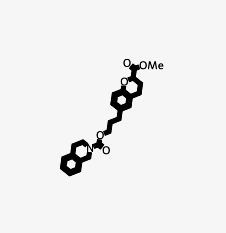 COC(=O)C1CCc2cc(CCCOC(=O)N3CCc4ccccc4C3)ccc2O1